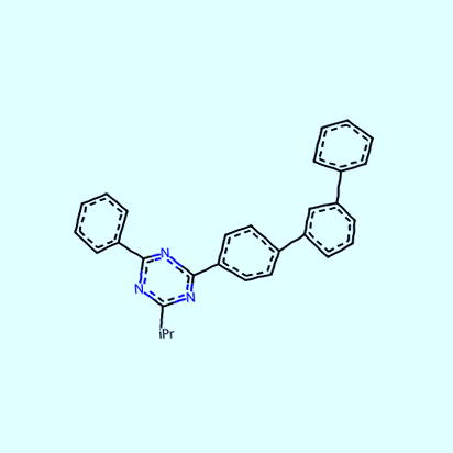 CC(C)c1nc(-c2ccccc2)nc(-c2ccc(-c3cccc(-c4ccccc4)c3)cc2)n1